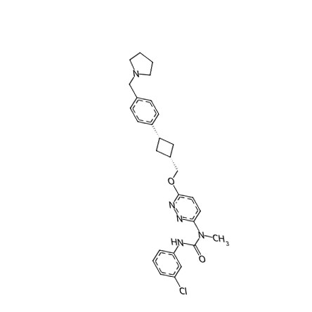 CN(C(=O)Nc1cccc(Cl)c1)c1ccc(OC[C@H]2C[C@@H](c3ccc(CN4CCCC4)cc3)C2)nn1